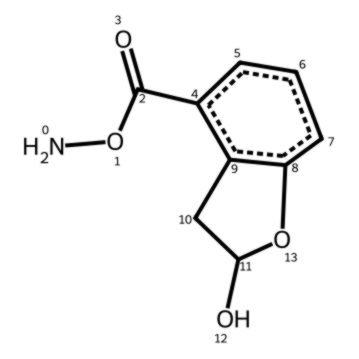 NOC(=O)c1cccc2c1CC(O)O2